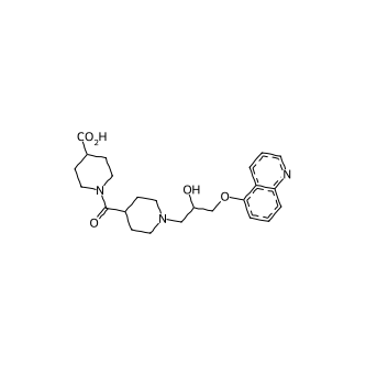 O=C(O)C1CCN(C(=O)C2CCN(CC(O)COc3cccc4ncccc34)CC2)CC1